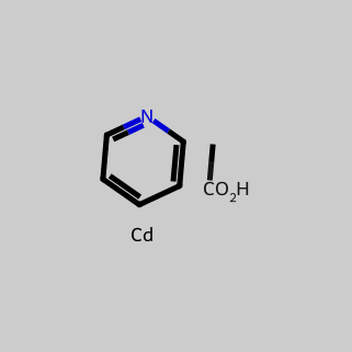 CC(=O)O.[Cd].c1ccncc1